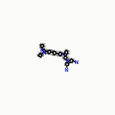 N#Cc1ccc2c(c1)c1cc(C#N)ccc1n2-c1ccc2c(c1)c1ccccc1n2-c1ccc(-c2ccc(-c3ccc(-c4cc(-c5ccccc5)nc(-c5ccccc5)n4)cc3)cc2)cc1